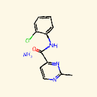 Cc1nccc(C(=O)Nc2ccccc2Cl)n1.N